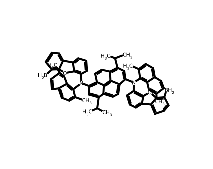 Bc1cccc2c1oc1c(N(c3c(C)ccc4ccc(C)cc34)c3cc(C(C)C)c4ccc5c(N(c6c(C)ccc7ccc(C)cc67)c6cccc7c6oc6c(B)cccc67)cc(C(C)C)c6ccc3c4c65)cccc12